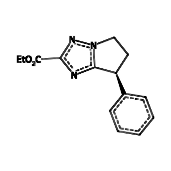 CCOC(=O)c1nc2n(n1)CC[C@H]2c1ccccc1